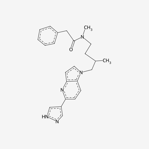 CC(CCN(C)C(=O)Cc1ccccc1)Cn1ccc2nc(-c3cn[nH]c3)ccc21